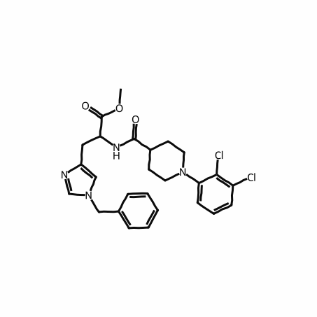 COC(=O)C(Cc1cn(Cc2ccccc2)cn1)NC(=O)C1CCN(c2cccc(Cl)c2Cl)CC1